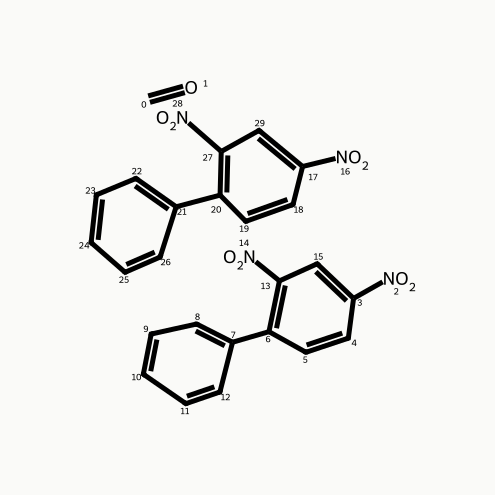 C=O.O=[N+]([O-])c1ccc(-c2ccccc2)c([N+](=O)[O-])c1.O=[N+]([O-])c1ccc(-c2ccccc2)c([N+](=O)[O-])c1